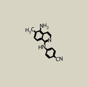 Cc1ccc2c(Nc3ccc(C#N)cc3)nccc2c1N